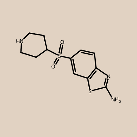 Nc1nc2ccc(S(=O)(=O)C3CCNCC3)cc2s1